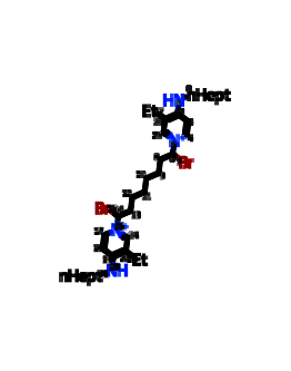 CCCCCCCNc1cc[n+](C(Br)CCCCCCC(Br)[n+]2ccc(NCCCCCCC)c(CC)c2)cc1CC